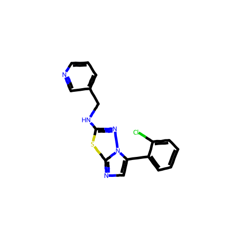 Clc1ccccc1-c1cnc2sc(NCc3cccnc3)nn12